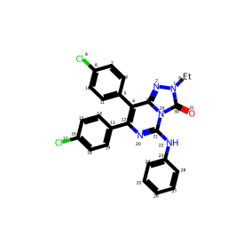 CCn1nc2c(-c3ccc(Cl)cc3)c(-c3ccc(Cl)cc3)nc(Nc3ccccc3)n2c1=O